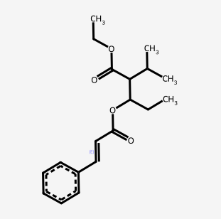 CCOC(=O)C(C(C)C)C(CC)OC(=O)/C=C/c1ccccc1